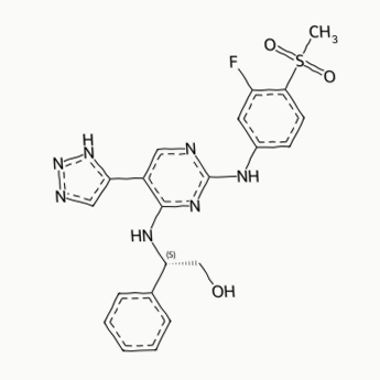 CS(=O)(=O)c1ccc(Nc2ncc(-c3cnn[nH]3)c(N[C@H](CO)c3ccccc3)n2)cc1F